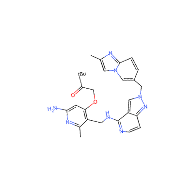 Cc1cn2cc(Cn3cc4c(NCc5c(OCC(=O)C(C)(C)C)cc(N)nc5C)nccc4n3)ccc2n1